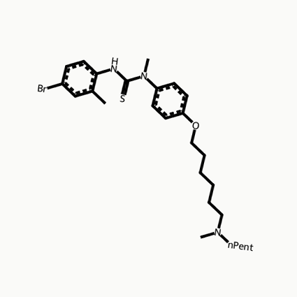 CCCCCN(C)CCCCCCOc1ccc(N(C)C(=S)Nc2ccc(Br)cc2C)cc1